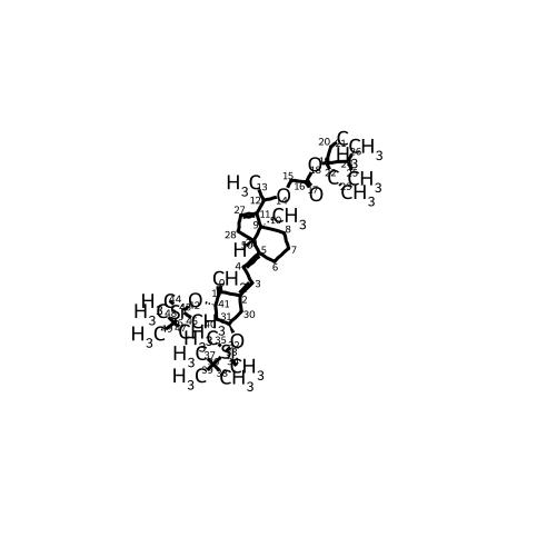 C=C1/C(=C\C=C2/CCC[C@]3(C)C(C(C)OCC(=O)OC(CC)(CC)C(C)C)=CC[C@@H]23)C[C@@H](O[Si](C)(C)C(C)(C)C)C[C@@H]1O[Si](C)(C)C(C)(C)C